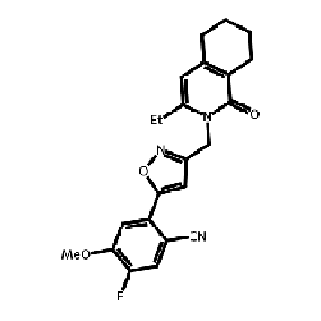 CCc1cc2c(c(=O)n1Cc1cc(-c3cc(OC)c(F)cc3C#N)on1)CCCC2